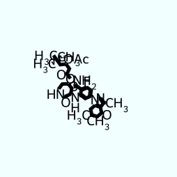 CC(=O)OC(CC(=O)OC1CCNC(=O)C(Nc2cc(-n3nc(C)c4c3CC(C)(C)CC4=O)cc(F)c2C(N)=O)C1)C[N+](C)(C)C